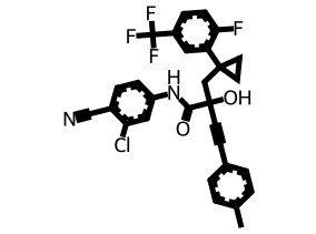 Cc1ccc(C#CC(O)(CC2(c3cc(C(F)(F)F)ccc3F)CC2)C(=O)Nc2ccc(C#N)c(Cl)c2)cc1